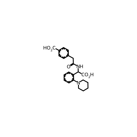 O=C(Cc1ccc(C(=O)O)cc1)NC(C(=O)O)c1ccccc1N1CCCCC1